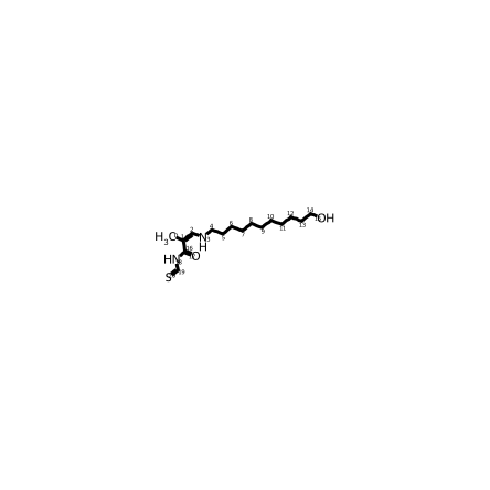 C/C(=C/NCCCCCCCCCCCO)C(=O)NC=S